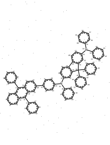 c1ccc(-c2c3ccccc3c(-c3ccccc3)c3cc(-c4ccc(N(c5ccccc5)c5ccc6c(c5)C(c5ccccc5)(c5ccccc5)c5cc(N(c7ccccc7)c7ccccc7)ccc5-6)cc4)ccc23)cc1